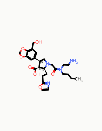 CCCCN(CCN)C(=O)CN1C[C@H](c2cc(CO)c3c(c2)OCO3)[C@@H](C(=O)O)[C@@H]1CCc1ncco1